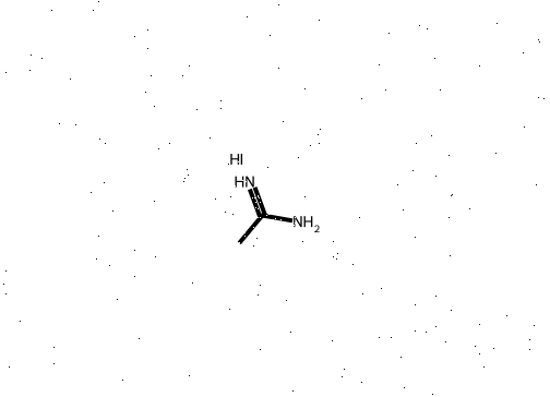 CC(=N)N.I